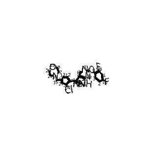 Fc1ccc(Oc2ncc3c(-c4ccc(CN5CCOCC5)cc4Cl)n[nH]c3n2)c(F)c1